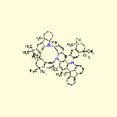 Cc1cc2c3cc1N1c4cc(ccc4B4c5cc6c(cc5N5c7cccc8c7C(C)(c7ccccc7-8)c7c(C)cc1c4c75)C(C)(C)CCC6(C)C)N1c4cc(c(C(C)(C)C)cc4C4(C)CCCCC14C)C3(C)CCC2(C)C